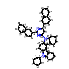 c1ccc(-n2c3ccccc3c3c4c5ccccc5n(-c5cc(-c6ccc7ccccc7c6)nc(-c6ccc7ccccc7c6)n5)c4ccc32)cc1